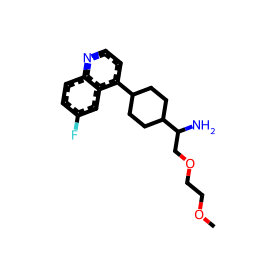 COCCOCC(N)C1CCC(c2ccnc3ccc(F)cc23)CC1